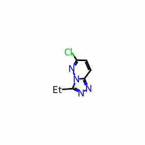 CCc1nnc2ccc(Cl)nn12